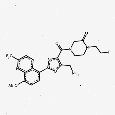 COc1ccc(-c2nc(C(=O)N3CCN(CCF)C(=O)C3)c(CN)o2)c2ccc(C(F)(F)F)nc12